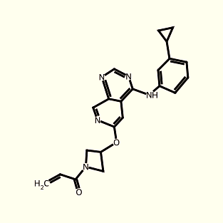 C=CC(=O)N1CC(Oc2cc3c(Nc4cccc(C5CC5)c4)ncnc3cn2)C1